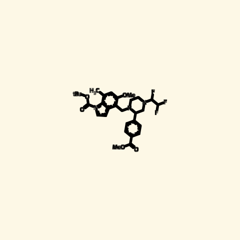 COC(=O)c1ccc(C2CN(C(F)C(F)F)CCN2Cc2c(OC)cc(C)c3c2ccn3C(=O)OC(C)(C)C)cc1